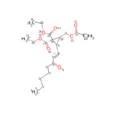 CCCCCC(=O)/C=C/C1C(COC(C)=O)C1(C(=O)OCC)C(=O)OCC